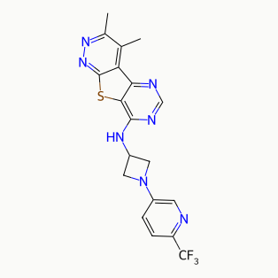 Cc1nnc2sc3c(NC4CN(c5ccc(C(F)(F)F)nc5)C4)ncnc3c2c1C